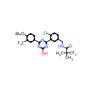 CC(C)COc1ccc(-c2nc(O)nc(-c3cc(CNC(=O)C(C)(C)C(F)(F)F)ccc3Cl)n2)cc1C(F)(F)F